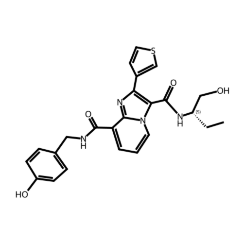 CC[C@@H](CO)NC(=O)c1c(-c2ccsc2)nc2c(C(=O)NCc3ccc(O)cc3)cccn12